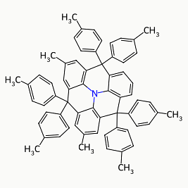 Cc1ccc(C2(c3ccc(C)cc3)c3cccc4c3N3c5c2cc(C)cc5C(c2ccc(C)cc2)(c2ccc(C)cc2)c2cc(C)cc(c23)C4(c2ccc(C)cc2)c2ccc(C)cc2)cc1